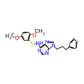 COc1ccc(OC)c(SNc2ncnc3c2ncn3CCCc2ccccc2)c1